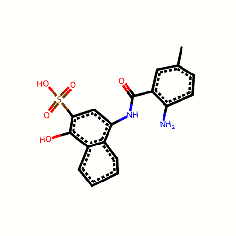 Cc1ccc(N)c(C(=O)Nc2cc(S(=O)(=O)O)c(O)c3ccccc23)c1